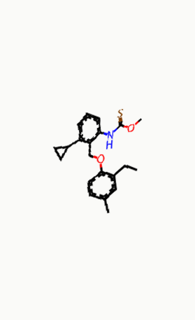 CCc1cc(C)ccc1OCc1c(NC(=S)OC)cccc1C1CC1